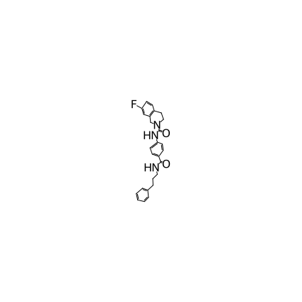 O=C(NCCCc1ccccc1)c1ccc(NC(=O)N2CCc3ccc(F)cc3C2)cc1